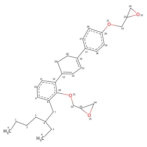 CCCCC(CC)Cc1cccc(C2=CC=C(c3ccc(OCC4CO4)cc3)CC2)c1OCC1CO1